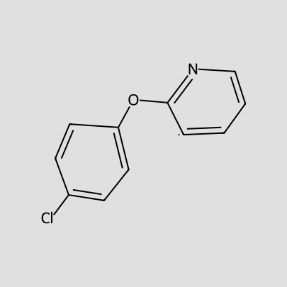 Clc1ccc(Oc2[c]cccn2)cc1